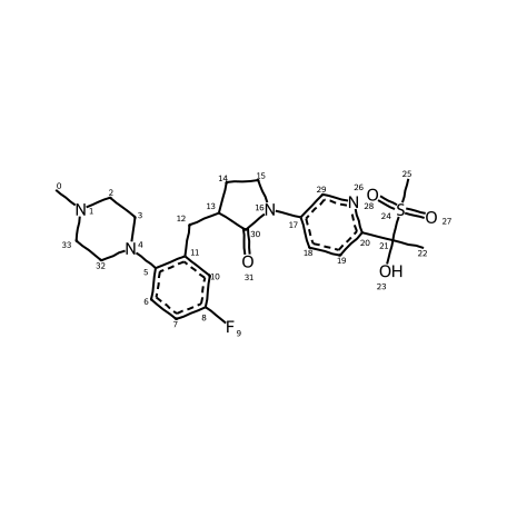 CN1CCN(c2ccc(F)cc2CC2CCN(c3ccc(C(C)(O)S(C)(=O)=O)nc3)C2=O)CC1